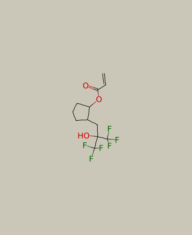 C=CC(=O)OC1CCCC1CC(O)(C(F)(F)F)C(F)(F)F